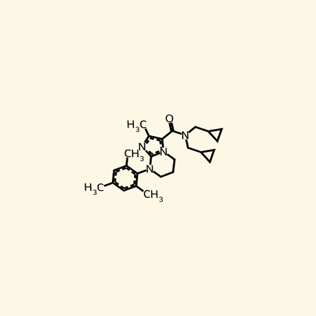 Cc1cc(C)c(N2CCCn3c2nc(C)c3C(=O)N(CC2CC2)CC2CC2)c(C)c1